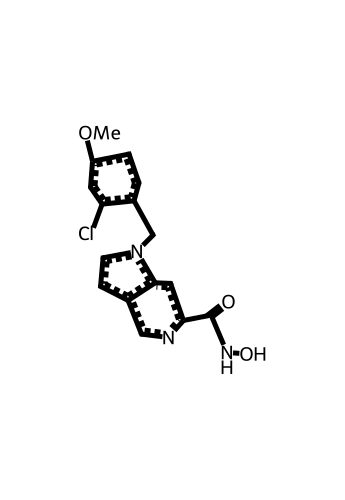 COc1ccc(Cn2ccc3cnc(C(=O)NO)cc32)c(Cl)c1